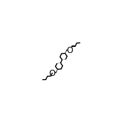 CCC=COC[C@H]1CC[C@H]([C@H]2CC[C@H](COCCCC)CC2)CC1